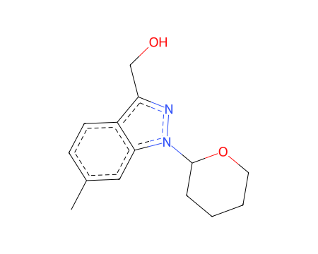 Cc1ccc2c(CO)nn(C3CCCCO3)c2c1